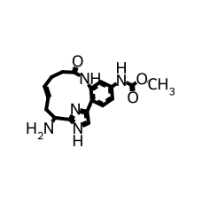 COC(=O)Nc1ccc2c(c1)NC(=O)CC/C=C/CC(N)c1nc-2c[nH]1